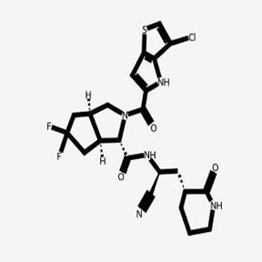 N#C[C@H](C[C@H]1CCCNC1=O)NC(=O)[C@@H]1[C@H]2CC(F)(F)C[C@H]2CN1C(=O)c1cc2scc(Cl)c2[nH]1